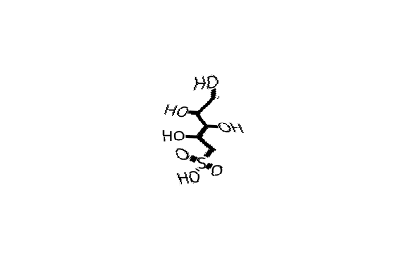 O=S(=O)(O)CC(O)C(O)C(O)[CH]O